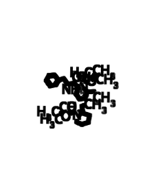 CCC1CCCC(C(O)[C@@H](N)Cc2ccccc2)N1C(=O)OC(C)(C)C.CCC1CCCCN1C(=O)OC(C)(C)C